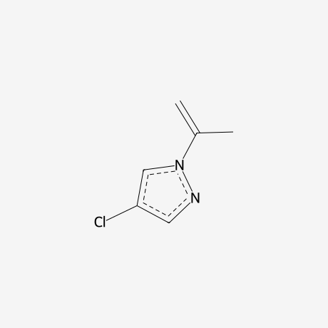 C=C(C)n1cc(Cl)cn1